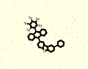 [2H]c1c([2H])c([2H])c(-c2c3ccccc3c(-c3ccc4oc5ccc(-c6ccccc6)cc5c4c3)c3ccccc23)c([2H])c1[2H]